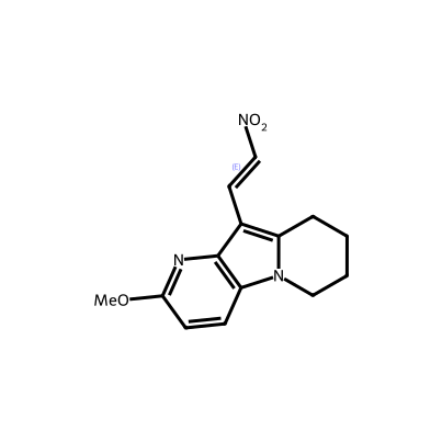 COc1ccc2c(n1)c(/C=C/[N+](=O)[O-])c1n2CCCC1